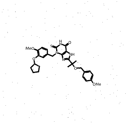 COc1ccc(COC(C)(C)c2nc3c([nH]2)c(=O)[nH]c(=S)n3Cc2ccc(OC)c(OC3CCCC3)c2)cc1